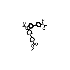 CCOC(=O)N1CCC(N2CCC3(CC2)CN(C(C)=O)c2ccc(-c4ccc(NC(C)=O)cc4)cc23)CC1